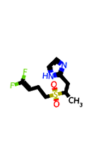 CC(Cc1ncc[nH]1)S(=O)(=O)CCC=C(F)F